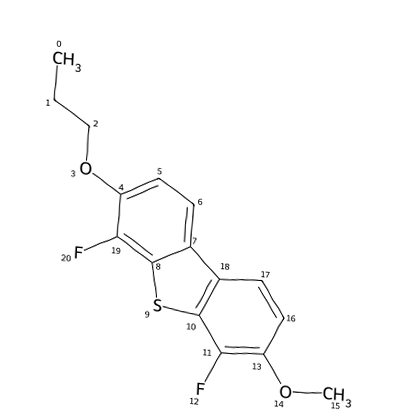 CCCOc1ccc2c(sc3c(F)c(OC)ccc32)c1F